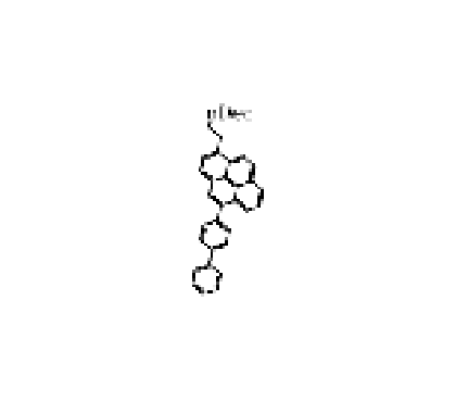 CCCCCCCCCCCCc1ccc2cc(-c3ccc(-c4ccccc4)cc3)c3cccc4ccc1c2c43